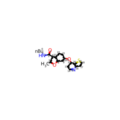 CCCCNC(=O)c1c(C)oc2cc(Oc3ccnc4ccsc34)ccc12